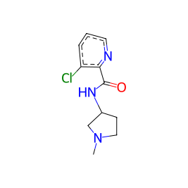 CN1CCC(NC(=O)c2ncccc2Cl)C1